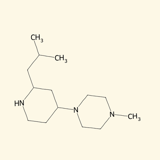 CC(C)CC1CC(N2CCN(C)CC2)CCN1